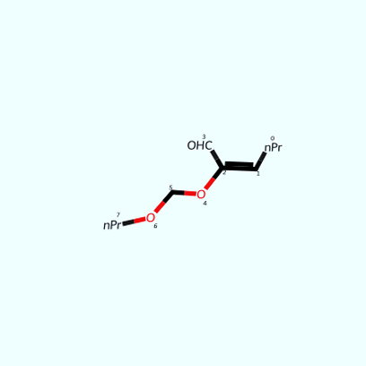 CCC/C=C(\C=O)OCOCCC